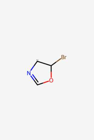 BrC1[C]N=CO1